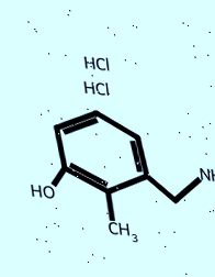 Cc1c(O)cccc1CN.Cl.Cl